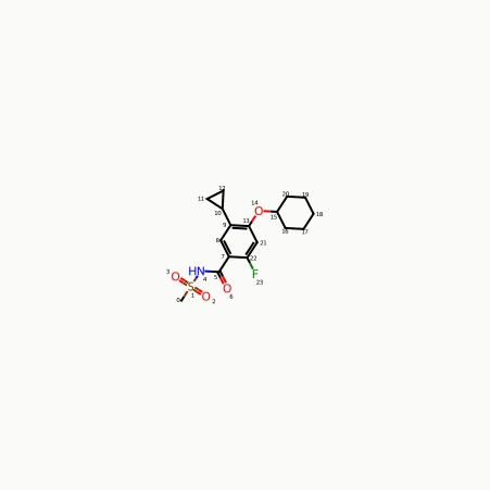 CS(=O)(=O)NC(=O)c1cc(C2CC2)c(OC2CCCCC2)cc1F